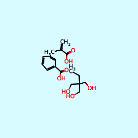 C=C(C)C(=O)O.CCC(CO)(CO)CO.O=C(O)c1ccccc1